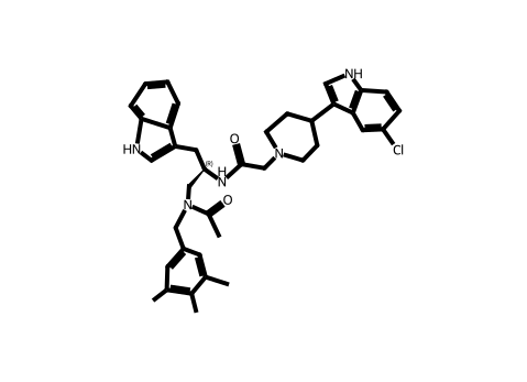 CC(=O)N(Cc1cc(C)c(C)c(C)c1)C[C@@H](Cc1c[nH]c2ccccc12)NC(=O)CN1CCC(c2c[nH]c3ccc(Cl)cc23)CC1